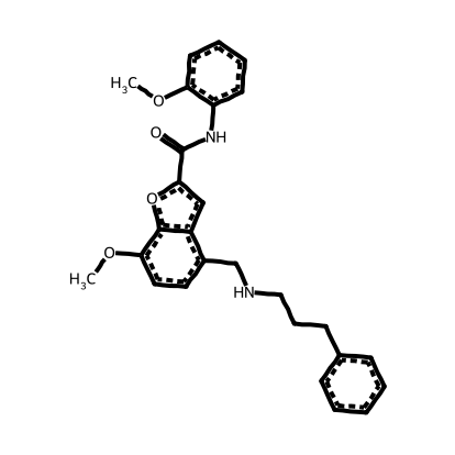 COc1ccccc1NC(=O)c1cc2c(CNCCCc3ccccc3)ccc(OC)c2o1